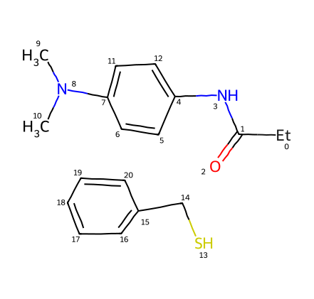 CCC(=O)Nc1ccc(N(C)C)cc1.SCc1ccccc1